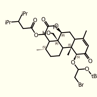 CC1=CC(=O)[C@@H](OC(CBr)OC(C)(C)C)[C@@]2(C)C1C[C@H]1OC(=O)C(OC(=O)CC(C(C)C)C(C)C)C3[C@@H](C)CCC2[C@]31CO